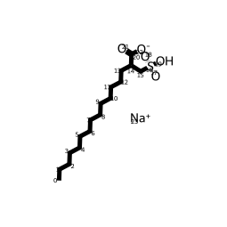 CCCCCCCCCCCCCCC(CS(=O)(=O)O)C(=O)[O-].[Na+]